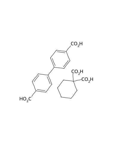 O=C(O)C1(C(=O)O)CCCCC1.O=C(O)c1ccc(-c2ccc(C(=O)O)cc2)cc1